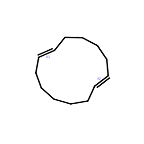 C1=C/CCCCC/C=C/CCCC/1